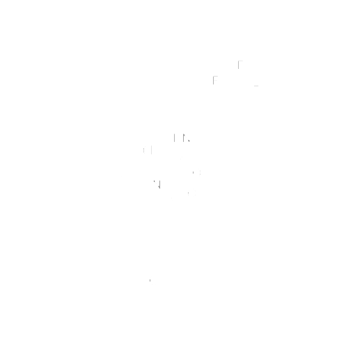 O=C(CN(Cc1ccccc1Cl)C(=O)c1ccc(Cl)cc1)Nc1cccc(C(F)(F)F)c1